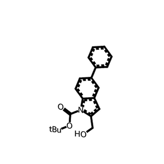 CC(C)(C)OC(=O)n1c(CO)cc2cc(-c3ccccc3)ccc21